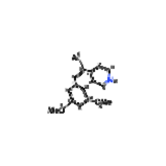 COc1cc(C=C(C(C)=O)c2ccncc2)cc(OC)c1